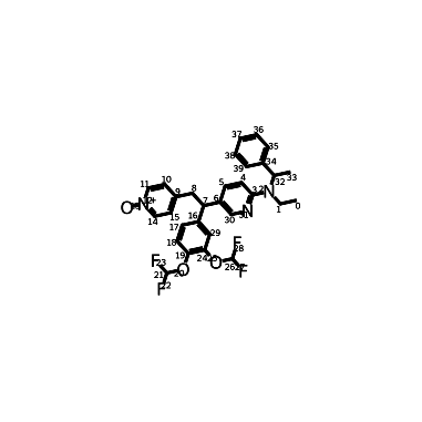 CCN(c1ccc(C(Cc2cc[n+]([O-])cc2)c2ccc(OC(F)F)c(OC(F)F)c2)cn1)C(C)c1ccccc1